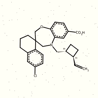 C=C[C@@H]1CC[C@H]1CN1CC2(CCCc3cc(Cl)ccc32)COc2ccc(C(=O)O)cc21